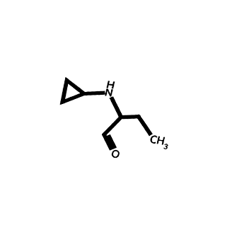 CC[C](C=O)NC1CC1